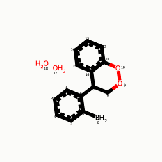 Bc1ccccc1C1COOc2ccccc21.O.O